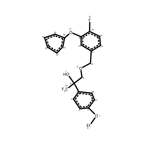 CCOc1ccc(C(O)(COCc2ccc(F)c(Oc3ccccc3)c2)C(F)(F)F)cc1